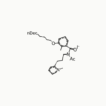 CCCCCCCCCCCCCCOc1cccc(C(=O)N(CCCc2cccc[n+]2C)C(C)=O)c1C.[I-]